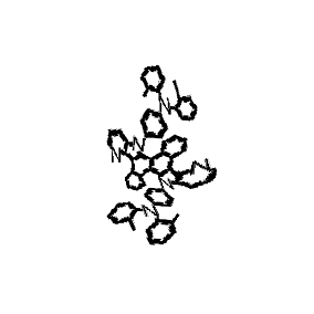 Cc1ccccc1N(c1ccc(-n2c3cccnc3c3c4ccccc4c4c(c5ccccc5c5c6ncccc6n(-c6ccc(N(c7ccccc7C)c7ccccc7C)cc6)c54)c32)cc1)c1ccccc1C